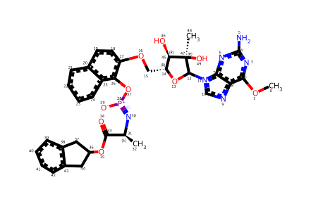 COc1nc(N)nc2c1ncn2C1O[C@H](COc2ccc3ccccc3c2O/[P+]([O-])=N/[C@@H](C)C(=O)OC2Cc3ccccc3C2)[C@@H](O)[C@@]1(C)O